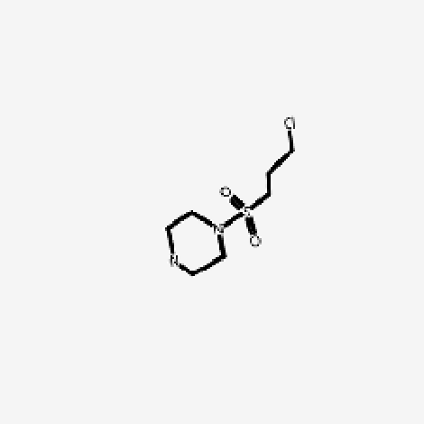 O=S(=O)(CCCCl)N1CC[N]CC1